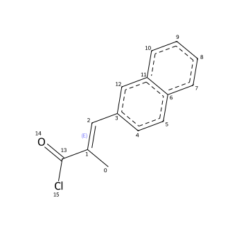 C/C(=C\c1ccc2ccccc2c1)C(=O)Cl